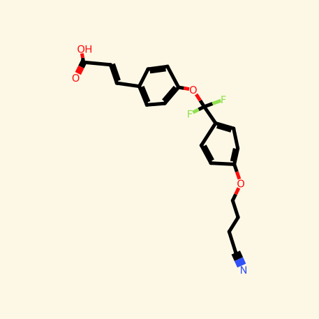 N#CCCCOc1ccc(C(F)(F)Oc2ccc(C=CC(=O)O)cc2)cc1